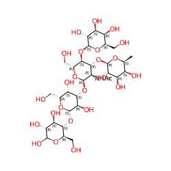 CC(=O)N[C@H]1[C@@H](O[C@H]2[C@@H](O)[C@@H](CO)O[C@@H](O[C@H]3[C@H](O)[C@@H](O)C(O)O[C@@H]3CO)[C@@H]2O)O[C@H](CO)[C@@H](O[C@@H]2O[C@H](CO)[C@H](O)[C@H](O)[C@H]2O)[C@@H]1O[C@H]1O[C@@H](C)[C@@H](O)[C@@H](O)[C@@H]1O